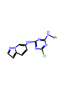 CC(C)Nc1nc(Cl)nc(Nc2ccc3ccnn3c2)n1